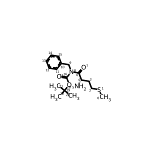 CSCC[C@H](N)C(=O)N(Cc1ccccc1)C(=O)OC(C)(C)C